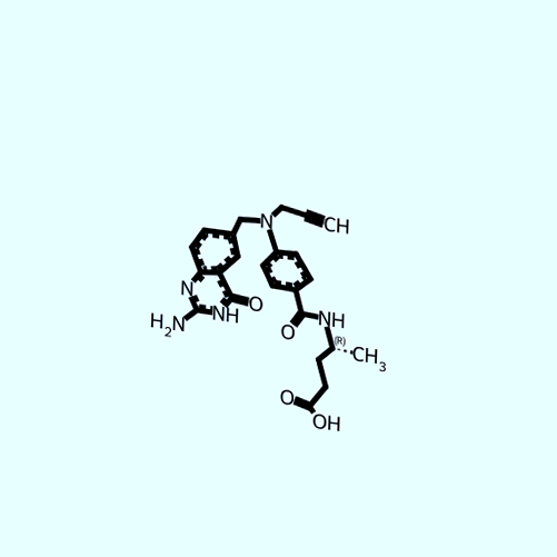 C#CCN(Cc1ccc2nc(N)[nH]c(=O)c2c1)c1ccc(C(=O)N[C@H](C)CCC(=O)O)cc1